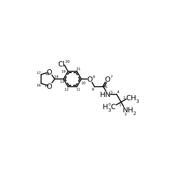 CC(C)(N)CNC(=O)COc1ccc(C2OCCO2)c(Cl)c1